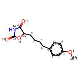 CC(C)Oc1ccc(CCCCC2OC(=O)NC2=O)cc1